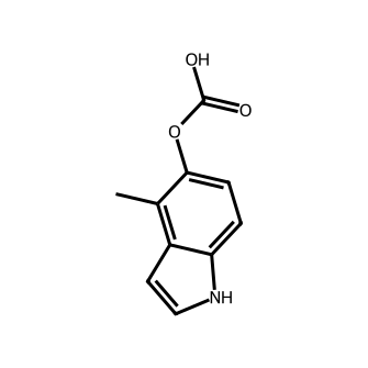 Cc1c(OC(=O)O)ccc2[nH]ccc12